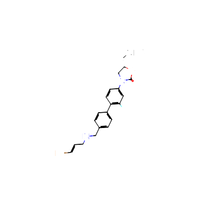 CC(=O)NC[C@H]1CN(c2ccc(-c3ccc(CNCC=CBr)cc3)c(F)c2)C(=O)O1